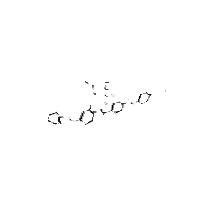 COc1ccc(N=Nc2ccc(C=Cc3ccc(N=Nc4ccc(OC)cc4)cc3S(=O)(=O)N=[N+]=[N-])c(S(=O)(=O)N=[N+]=[N-])c2)cc1